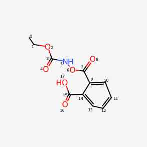 CCOC(=O)NOC(=O)c1ccccc1C(=O)O